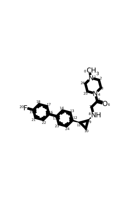 CN1CCN(C(=O)CN[C@@H]2C[C@H]2c2ccc(-c3ccc(F)cc3)cc2)CC1